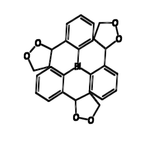 c1cc[c]([Bi]([c]2ccccc2C2CCOO2)[c]2ccccc2C2CCOO2)c(C2CCOO2)c1